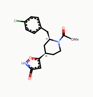 COC(=O)N1CC[C@@H](c2cc(=O)[nH]o2)C[C@H]1Cc1ccc(Cl)cc1